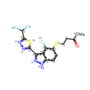 COC(=O)CCSc1ccc2[nH]nc(-c3nnc(C(F)F)s3)c2c1F